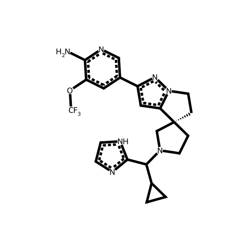 Nc1ncc(-c2cc3n(n2)CC[C@@]32CCN(C(c3ncc[nH]3)C3CC3)C2)cc1OC(F)(F)F